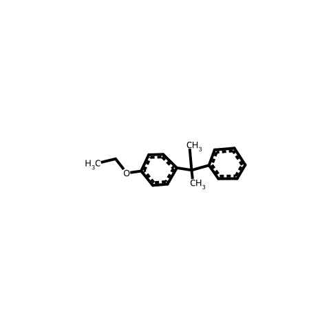 CCOc1ccc(C(C)(C)c2ccccc2)cc1